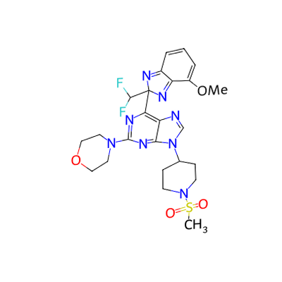 COc1cccc2c1=NC(c1nc(N3CCOCC3)nc3c1ncn3C1CCN(S(C)(=O)=O)CC1)(C(F)F)N=2